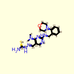 CN(C)c1nc(NCc2ccccc2N2CCOCC2)ncc1/C=N/NC(N)=S